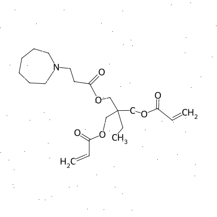 C=CC(=O)OCC(CC)(COC(=O)C=C)COC(=O)CCN1CCCCCC1